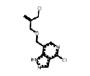 C=C(CCl)COCc1cnc(Cl)c2cn[nH]c12